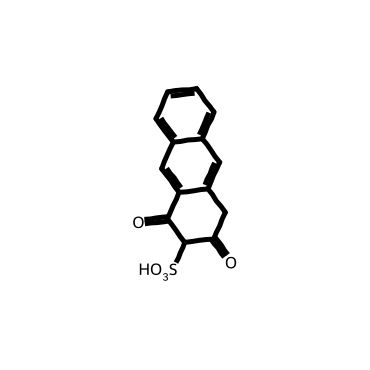 O=C1Cc2cc3ccccc3cc2C(=O)C1S(=O)(=O)O